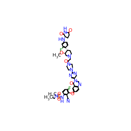 CCN(C)S(=O)(=O)Nc1ccc(F)c(Oc2ccc3ncn(-c4cnc(N5CCN(C(=O)CN6CC[C@@H](c7ccc(N[C@H]8CCC(=O)NC8=O)cc7F)[C@H](OC)C6)CC5)nc4)c(=O)c3c2)c1C#N